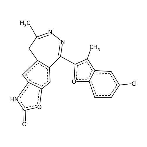 CC1=NN=C(c2oc3ccc(Cl)cc3c2C)c2cc3oc(=O)[nH]c3cc2C1